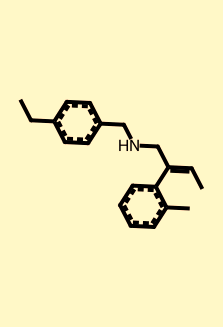 C/C=C(/CNCc1ccc(CC)cc1)c1ccccc1C